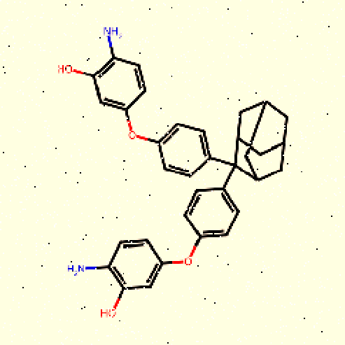 Nc1ccc(Oc2ccc(C3(c4ccc(Oc5ccc(N)c(O)c5)cc4)C4CC5CC(C4)CC3C5)cc2)cc1O